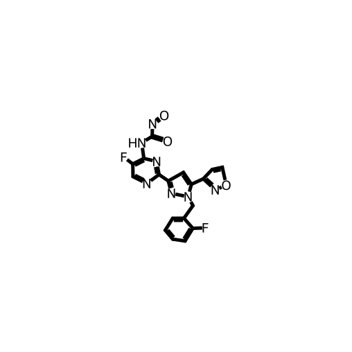 O=NC(=O)Nc1nc(-c2cc(-c3ccon3)n(Cc3ccccc3F)n2)ncc1F